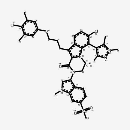 Cc1cc(OCCCc2c3n(c4c(-c5c(C)nn(C)c5C)c(Cl)ccc24)[C@H](C)CN(c2cn(C)c4cc(S(C)(=O)=O)ccc24)C3=O)cc(C)c1Cl